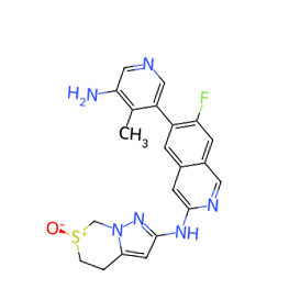 Cc1c(N)cncc1-c1cc2cc(Nc3cc4n(n3)C[S@+]([O-])CC4)ncc2cc1F